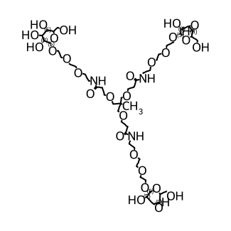 CC(COCCC(=O)NCCOCCOCCO[C@H]1OC(CO)[C@@H](O)C(O)[C@H]1O)(COCCC(=O)NCCOCCOCCO[C@H]1OC(CO)[C@H]2OC2[C@H]1O)COCCC(=O)NCCOCCOCCO[C@H]1OC(CO)[C@H]2OC2[C@H]1O